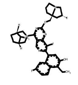 CCc1c(O)cc(-c2ncc3c(N4C[C@H]5CC[C@@H](C4)C5C)nc(OC[C@@]45CCCN4C[C@H](F)C5)nc3c2F)c2cc(F)ccc12